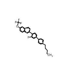 CCCCCc1ccc(-c2ccc(-c3ccc4cc(OC(F)(F)F)ccc4c3)c(F)c2)cc1